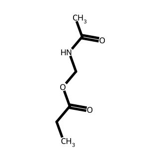 CCC(=O)OCNC(C)=O